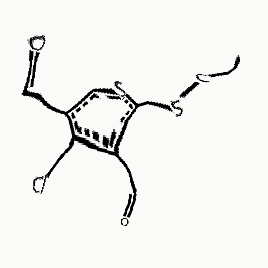 CCSc1sc(C=O)c(Cl)c1C=O